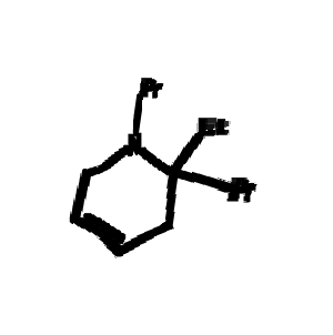 CCC1(C(C)C)CC=CCN1C(C)C